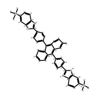 Cc1ccc2c(-c3ccc(-c4nc5ccc([Si](C)(C)C)cc5s4)cc3)c3ccccc3c(-c3ccc(-c4nc5ccc([Si](C)(C)C)cc5s4)cc3)c2c1